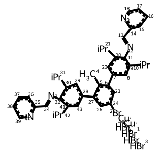 Br.Br.Br.Br.Cc1c(-c2cc(C(C)C)c(N=Cc3ccccn3)c(C(C)C)c2)cc(Br)cc1-c1cc(C(C)C)c(N=Cc2ccccn2)c(C(C)C)c1.[Cu].[Cu]